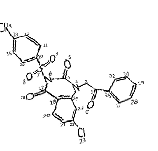 O=C(Cn1c(=O)n(S(=O)(=O)c2ccc(Cl)cc2)c(=O)c2ccc(Cl)cc21)c1ccccc1